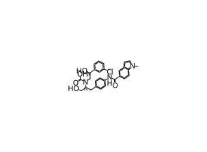 Cn1ccc2cc(C(=O)Nc3ccc(C[C@@H](CO)N(C[C@@H](O)c4cccc(Cl)c4)C(=O)O)cc3)ccc21